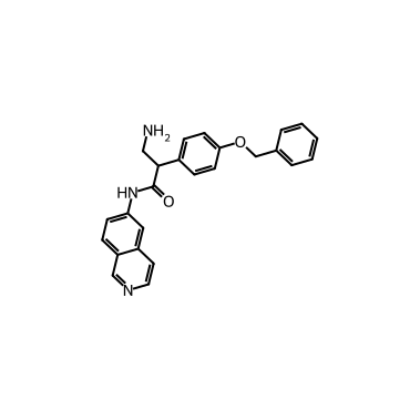 NCC(C(=O)Nc1ccc2cnccc2c1)c1ccc(OCc2ccccc2)cc1